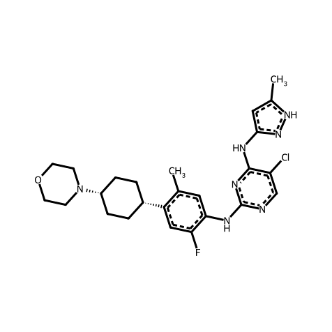 Cc1cc(Nc2nc(Nc3cc(C)c([C@H]4CC[C@@H](N5CCOCC5)CC4)cc3F)ncc2Cl)n[nH]1